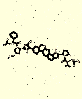 COC[C@H]1C[C@@H](c2nc(Cl)c(-c3ccc4c(c3)COc3cc5c(ccc6nc([C@@H]7CC[C@H](C)N7C(=O)[C@@H](NC(=O)OC)C(C)C)[nH]c65)cc3-4)[nH]2)N(C(=O)[C@H](NC(=O)O)c2ccccc2)C1